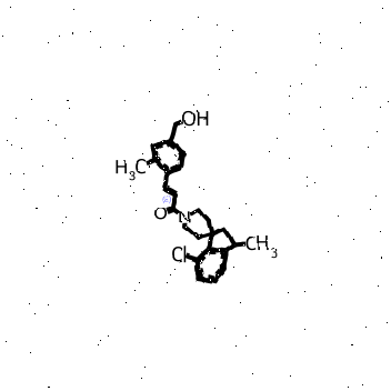 Cc1cc(CO)ccc1/C=C/C(=O)N1CCC2(CC1)CC(C)c1cccc(Cl)c12